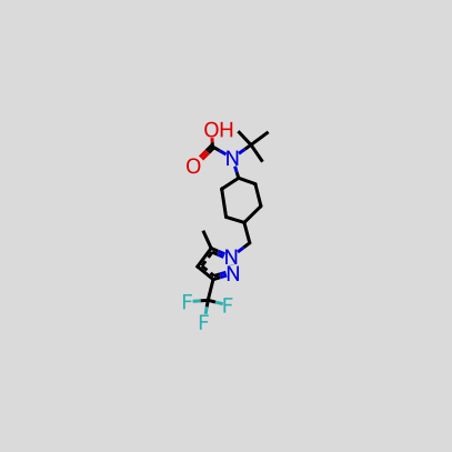 Cc1cc(C(F)(F)F)nn1CC1CCC(N(C(=O)O)C(C)(C)C)CC1